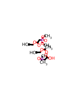 C#CCOC(=O)CP(=O)(OC)OC.C#CCOC(C)=O.CP(C)(=O)CC(=O)O